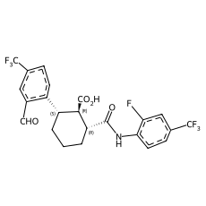 O=Cc1cc(C(F)(F)F)ccc1[C@H]1CCC[C@@H](C(=O)Nc2ccc(C(F)(F)F)cc2F)[C@@H]1C(=O)O